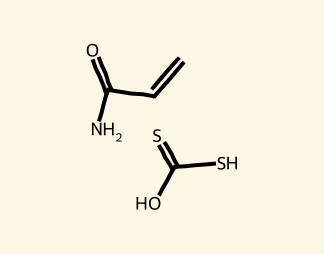 C=CC(N)=O.OC(=S)S